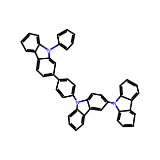 c1ccc(-n2c3ccccc3c3ccc(-c4ccc(-n5c6ccccc6c6cc(-n7c8ccccc8c8ccccc87)ccc65)cc4)cc32)cc1